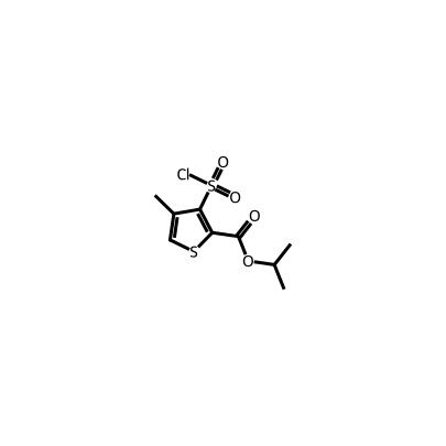 Cc1csc(C(=O)OC(C)C)c1S(=O)(=O)Cl